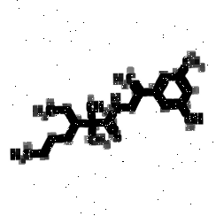 C=C(CNC(=S)C(C)(C)C(CC)CCCC)c1cc(C)cc(O)c1